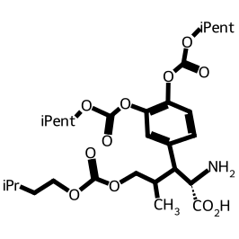 CCCC(C)OC(=O)Oc1ccc(C(C(C)COC(=O)OCCC(C)C)[C@H](N)C(=O)O)cc1OC(=O)OC(C)CCC